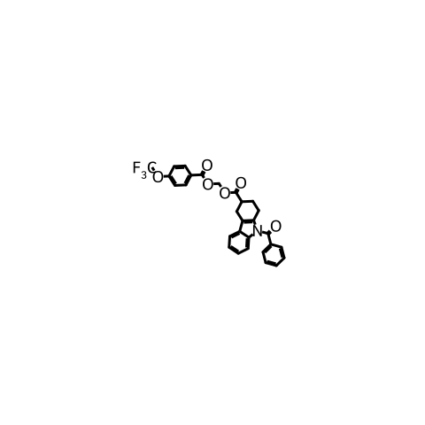 O=C(OCOC(=O)C1CCc2c(c3ccccc3n2C(=O)c2ccccc2)C1)c1ccc(OC(F)(F)F)cc1